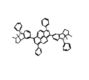 CC1CCC2c3cc(-c4cc(-c5ccccc5)c5ccc6c(-c7ccc8c(c7)C7CCC(C)C7(C)N8c7ccccc7)cc(-c7ccccc7)c7ccc4c5c76)ccc3N(c3ccccc3)C12C